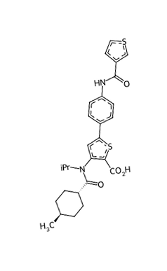 CC(C)N(c1cc(-c2ccc(NC(=O)c3ccsc3)cc2)sc1C(=O)O)C(=O)[C@H]1CC[C@H](C)CC1